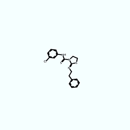 S=C(Nc1cccc(Cl)c1)N1CCSC1=NCCc1ccccc1